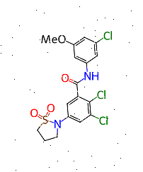 COc1cc(Cl)cc(NC(=O)c2cc(N3CCCS3(=O)=O)cc(Cl)c2Cl)c1